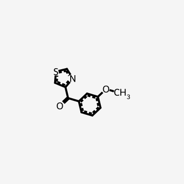 COc1cccc(C(=O)c2cscn2)c1